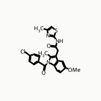 COc1ccc2c(c1)c(CC(=O)Nc1nc(C)cs1)c(C)n2C(=O)c1ccc(Cl)cc1